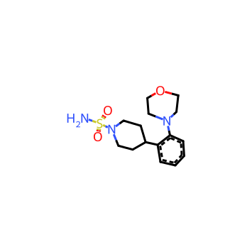 NS(=O)(=O)N1CCC(c2ccccc2N2CCOCC2)CC1